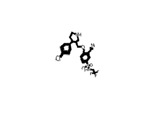 N#Cc1cc(S(=O)(=O)NCC(F)(F)F)ccc1OCC1CNCCC1c1ccc(Cl)cc1